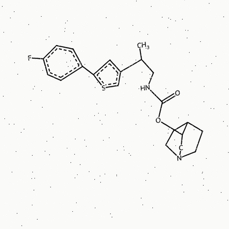 CC(CNC(=O)OC1CN2CCC1CC2)c1csc(-c2ccc(F)cc2)c1